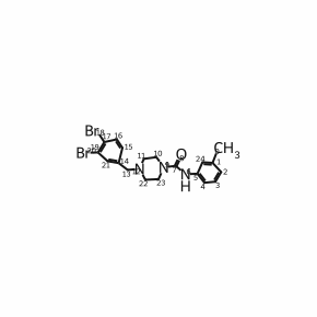 Cc1cccc(NC(=O)N2CCN(Cc3ccc(Br)c(Br)c3)CC2)c1